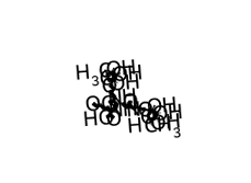 C[C@@H]1O[C@@H](OCCNC(=O)CC[C@H](NC(CCCC=O)C(=O)O)C(=O)NCCO[C@@H]2O[C@@H](C)[C@@H](O)[C@@H](O)[C@@H]2O)[C@@H](O)[C@H](O)[C@@H]1O